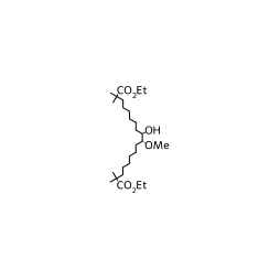 CCOC(=O)C(C)(C)CCCCCC[C@@H](O)[C@@H](CCCCCCC(C)(C)C(=O)OCC)OC